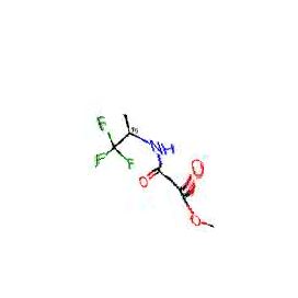 COC(=O)C(=O)N[C@H](C)C(F)(F)F